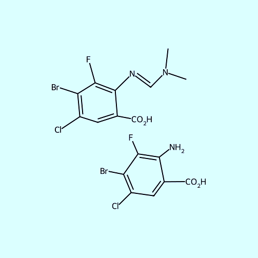 CN(C)C=Nc1c(C(=O)O)cc(Cl)c(Br)c1F.Nc1c(C(=O)O)cc(Cl)c(Br)c1F